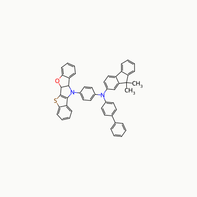 CC1(C)c2ccccc2-c2ccc(N(c3ccc(-c4ccccc4)cc3)c3ccc(N4c5c(sc6ccccc56)C5Oc6ccccc6C54)cc3)cc21